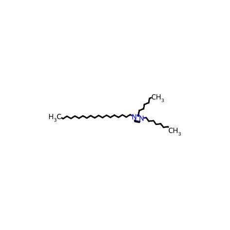 CCCCCCCCCCCCCCCCCCC[n+]1ccn(CCCCCCCC)c1CCCCCC